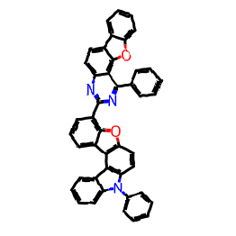 c1ccc(-c2nc(-c3cccc4c3oc3ccc5c(c6ccccc6n5-c5ccccc5)c34)nc3ccc4c5ccccc5oc4c23)cc1